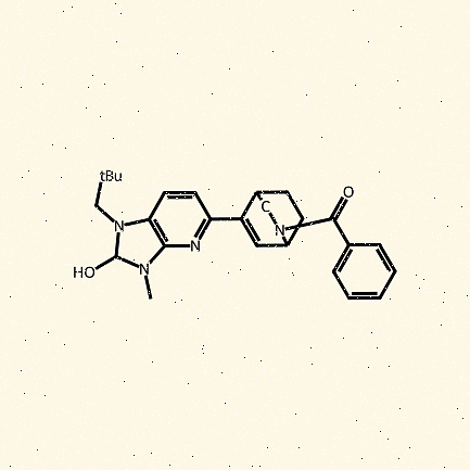 CN1c2nc(C3=CC4CCC3CN4C(=O)c3ccccc3)ccc2N(CC(C)(C)C)C1O